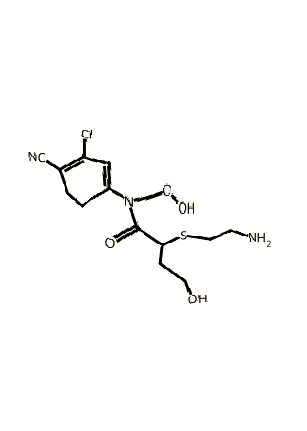 N#CC1=C(Cl)C=C(N(OO)C(=O)C(CCO)SCCN)CC1